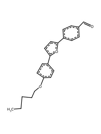 CCCCCOc1ccc(-c2ccc(-c3ccc(C=O)cc3)o2)cc1